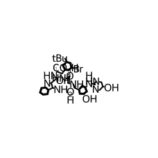 CC(C)(C)c1cc(Br)cc(C(NC(=O)CNC(O)c2cc(O)cc(NC3=NCC(O)CN3)c2)[C@H](NC(O)C2=Nc3ccccc3C2N)C(=O)O)c1